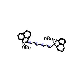 CCCCn1/c(=C/C=C/C=C/C=C/C2=[N+](CCCC)c3cccc4cccc2c34)c2cccc3cccc1c32